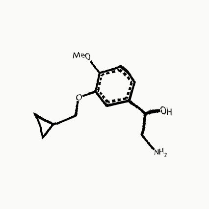 COc1ccc(C(O)CN)cc1OCC1CC1